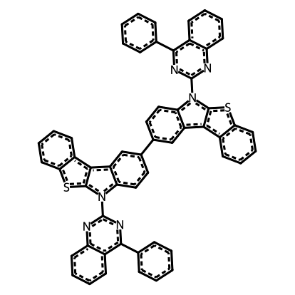 c1ccc(-c2nc(-n3c4ccc(-c5ccc6c(c5)c5c7ccccc7sc5n6-c5nc(-c6ccccc6)c6ccccc6n5)cc4c4c5ccccc5sc43)nc3ccccc23)cc1